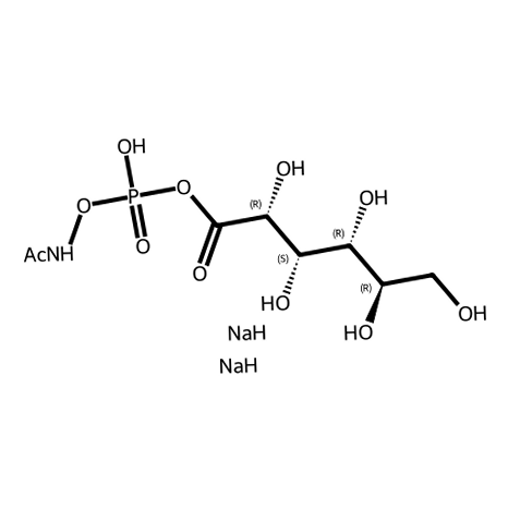 CC(=O)NOP(=O)(O)OC(=O)[C@H](O)[C@@H](O)[C@H](O)[C@H](O)CO.[NaH].[NaH]